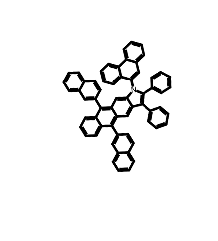 c1ccc(-c2c(-c3ccccc3)n(-c3cc4ccccc4c4ccccc34)c3cc4c(-c5ccc6ccccc6c5)c5ccccc5c(-c5ccc6ccccc6c5)c4cc23)cc1